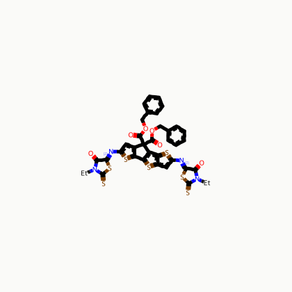 CCN1C(=O)/C(=N/c2cc3c(s2)-c2sc4cc(/N=C5\SC(=S)N(CC)C5=O)sc4c2C3(C(=O)OCc2ccccc2)C(=O)OCc2ccccc2)SC1=S